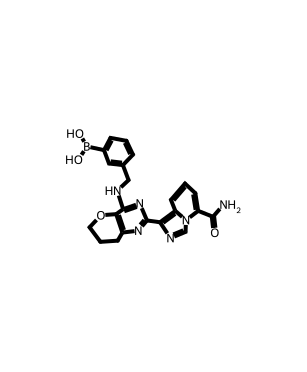 NC(=O)c1cccc2c(-c3nc4c(c(NCc5cccc(B(O)O)c5)n3)OCCC4)ncn12